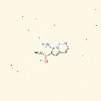 COC(=O)c1cc2ccncn2c1N